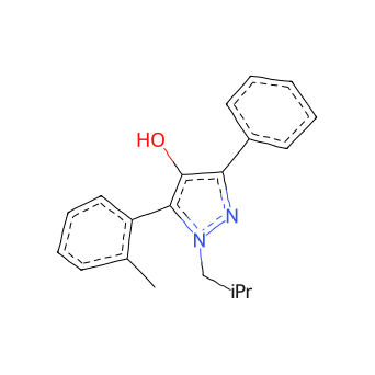 Cc1ccccc1-c1c(O)c(-c2ccccc2)nn1CC(C)C